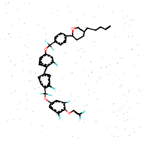 CCCCCC1CCC(c2ccc(C(F)(F)Oc3ccc(-c4ccc(C(F)(F)Oc5cc(F)c(OC=C(F)F)c(F)c5)c(F)c4)c(F)c3)cc2)OC1